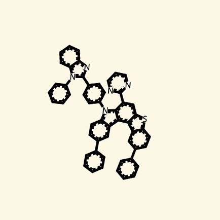 c1ccc(-c2ccc3sc4cc(-c5ncccn5)c5c(c6cc(-c7ccccc7)ccc6n5-c5ccc(-c6nc7ccccc7n6-c6ccccc6)cc5)c4c3c2)cc1